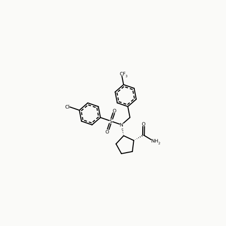 NC(=O)[C@@H]1CCC[C@@H]1N(Cc1ccc(C(F)(F)F)cc1)S(=O)(=O)c1ccc(Cl)cc1